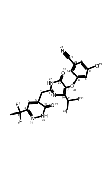 CC(F)(F)c1cc(Cc2nc(C(F)F)c(Oc3cc(Cl)cc(C#N)c3)c(=O)[nH]2)c(=O)[nH]n1